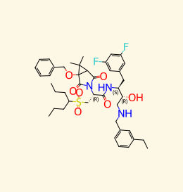 CCCC(CCC)S(=O)(=O)C[C@@H](C(=O)N[C@@H](Cc1cc(F)cc(F)c1)[C@H](O)CNCc1cccc(CC)c1)N1C(=O)C2C(C)(C)C2(OCc2ccccc2)C1=O